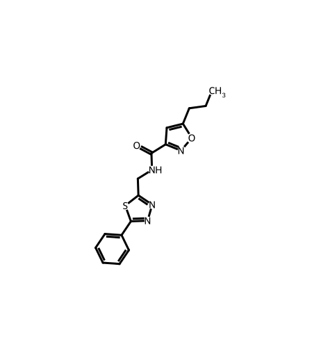 CCCc1cc(C(=O)NCc2nnc(-c3ccccc3)s2)no1